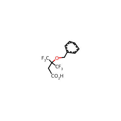 O=C(O)CC(OCc1ccccc1)(C(F)(F)F)C(F)(F)F